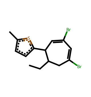 CCC1CC(Br)=CC(Br)=CC1c1ccc(C)s1